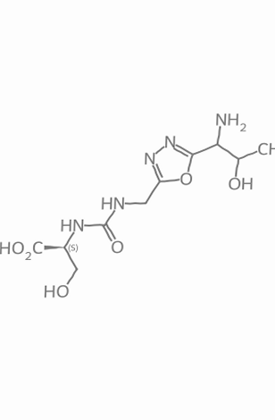 CC(O)C(N)c1nnc(CNC(=O)N[C@@H](CO)C(=O)O)o1